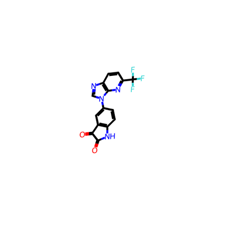 O=C1Nc2ccc(-n3cnc4ccc(C(F)(F)F)nc43)cc2C1=O